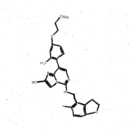 COCCOc1ccc(-c2cnc(NCc3c(F)ccc4c3CCO4)n3cc(C#N)nc23)c(C)c1